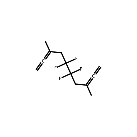 C=C=C(C)CC(F)(F)C(F)(F)CC(C)=C=C